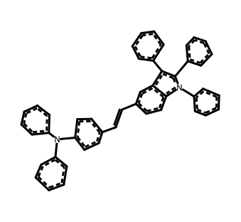 C(=C\c1ccc2c(c1)c(-c1ccccc1)c(-c1ccccc1)n2-c1ccccc1)/c1ccc(N(c2ccccc2)c2ccccc2)cc1